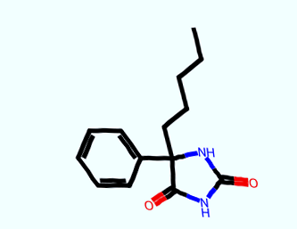 CCCCCC1(c2ccccc2)NC(=O)NC1=O